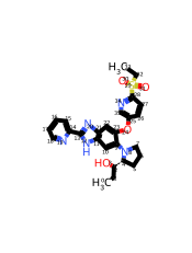 CCC(O)[C@H]1CCCN1c1cc2[nH]c(-c3ccccn3)nc2cc1Oc1ccc(S(=O)(=O)CC)nc1